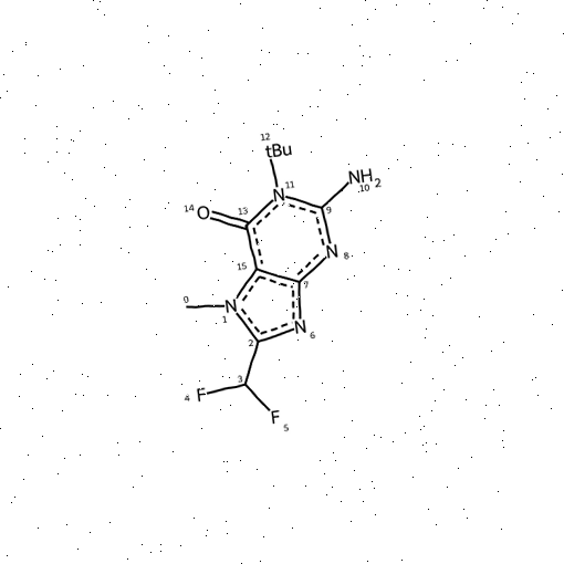 Cn1c(C(F)F)nc2nc(N)n(C(C)(C)C)c(=O)c21